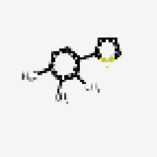 Cc1ccc(-c2cccs2)c(C)c1C